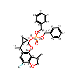 CC1COc2c(F)cc(C(C)C3CC3)c(OCOP(=O)(OCc3ccccc3)OCc3ccccc3)c21